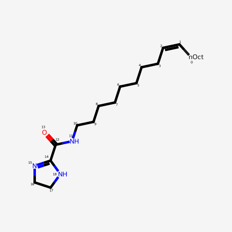 CCCCCCCC/C=C\CCCCCCCCNC(=O)C1=NCCN1